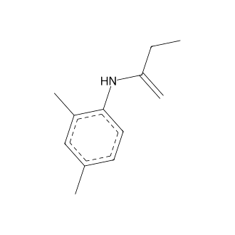 C=C(CC)Nc1ccc(C)cc1C